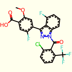 COc1cc(-c2nn(C(=O)c3c(Cl)cccc3C(F)(F)F)c3cccc(F)c23)c(F)cc1C(=O)O